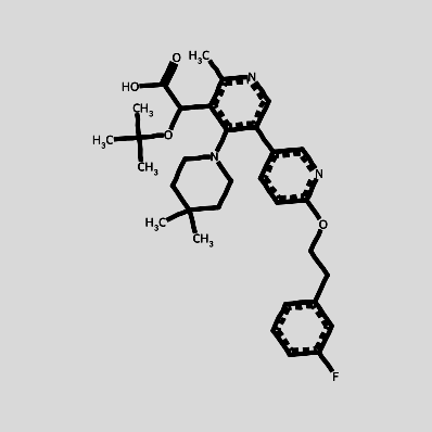 Cc1ncc(-c2ccc(OCCc3cccc(F)c3)nc2)c(N2CCC(C)(C)CC2)c1C(OC(C)(C)C)C(=O)O